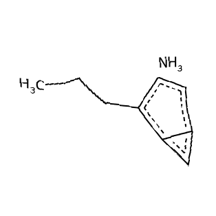 CCCc1ccc2cc1-2.N